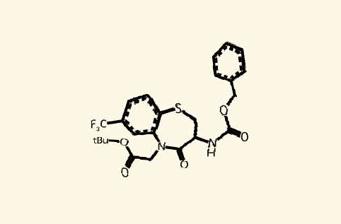 CC(C)(C)OC(=O)CN1C(=O)C(NC(=O)OCc2ccccc2)CSc2ccc(C(F)(F)F)cc21